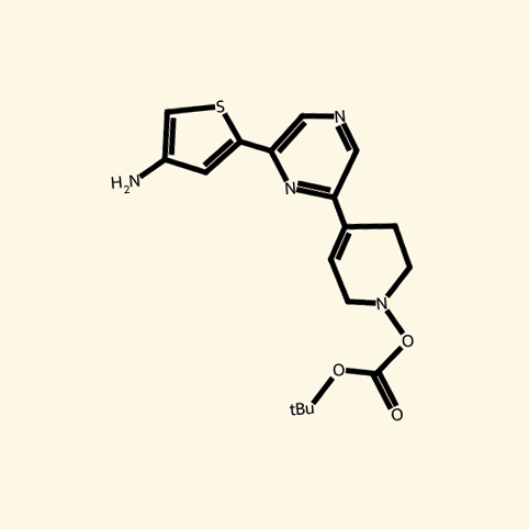 CC(C)(C)OC(=O)ON1CC=C(c2cncc(-c3cc(N)cs3)n2)CC1